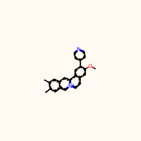 COc1cc2cc[n+]3cc4cc(C)c(C)cc4cc3c2cc1-c1ccncc1